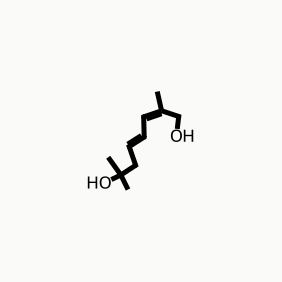 CC(=CC=CCC(C)(C)O)CO